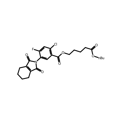 CCCCOC(=O)CCCCOC(=O)c1cc(N2C(=O)C3=C(CCCC3)C2=O)c(F)cc1Cl